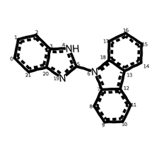 c1ccc2[nH]c(-n3c4ccccc4c4ccccc43)nc2c1